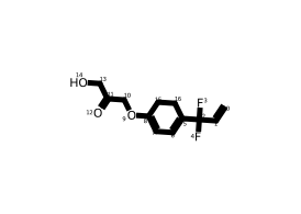 C=CC(F)(F)C1=CC=C(OCC(=O)CO)CC1